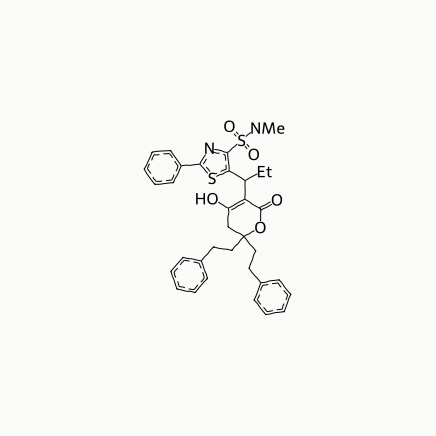 CCC(C1=C(O)CC(CCc2ccccc2)(CCc2ccccc2)OC1=O)c1sc(-c2ccccc2)nc1S(=O)(=O)NC